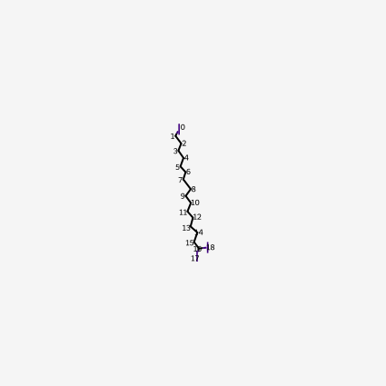 ICCCCCCCCCCCCCCCC(I)I